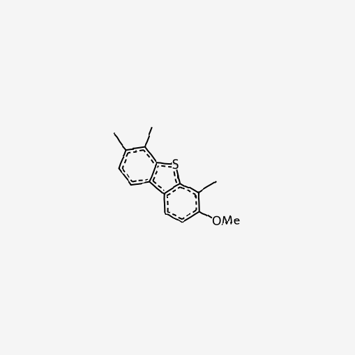 COc1ccc2c(sc3c(C)c(C)ccc32)c1C